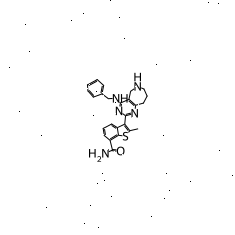 Cc1sc2c(C(N)=O)cccc2c1-c1nc2c(c(NCc3ccccc3)n1)CNCCC2